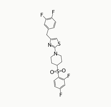 O=S(=O)(c1ccc(F)cc1F)C1CCN(c2nc(Cc3ccc(F)c(F)c3)cs2)CC1